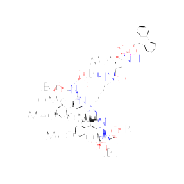 CNC(=O)C(CCC(=O)NCCCCCCN(Cc1cc(-c2c(OC)cc(OC)cc2OC)cc(CN(CC(=O)OC(C)(C)C)CC(=O)OC(C)(C)C)n1)Cc1cc(-c2c(OC)cc(OC)cc2OC)cc(CN(CC(=O)OC(C)(C)C)CC(=O)OC(C)(C)C)n1)NC(=O)OCC1c2ccccc2-c2ccccc21